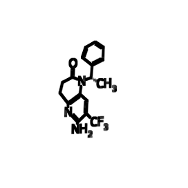 C[C@@H](c1ccccc1)N1C(=O)CCc2nc(N)c(C(F)(F)F)cc21